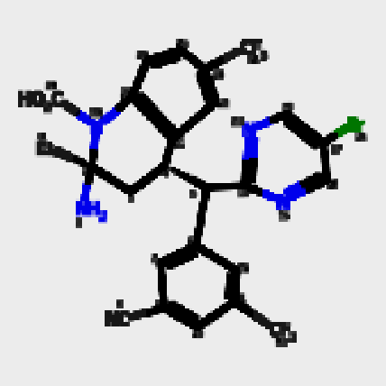 CC[C@]1(N)C[C@@H](C(c2cc(C#N)cc(C(F)(F)F)c2)c2ncc(Br)cn2)c2cc(C(F)(F)F)ccc2N1C(=O)O